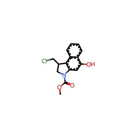 COC(=O)N1CC(CCl)c2c1cc(O)c1ccccc21